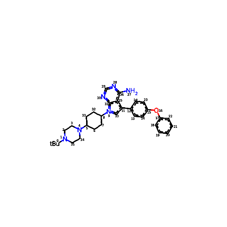 CC(C)(C)N1CCN(C2CCC(n3cc(-c4ccc(Oc5ccccc5)cc4)c4c(N)ncnc43)CC2)CC1